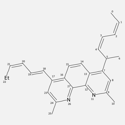 C/C=C\C=C/C(C)c1cc(C)nc2c1ccc1c(/C=C/C=C\CC)cc(C)nc12